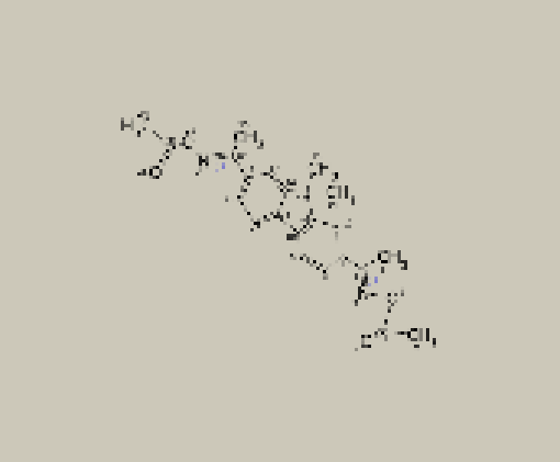 CC(=O)O/N=C(\C)c1ccc2c(c1)C(C)(C)c1cc(/C(C)=N/OC(C)=O)ccc1-2